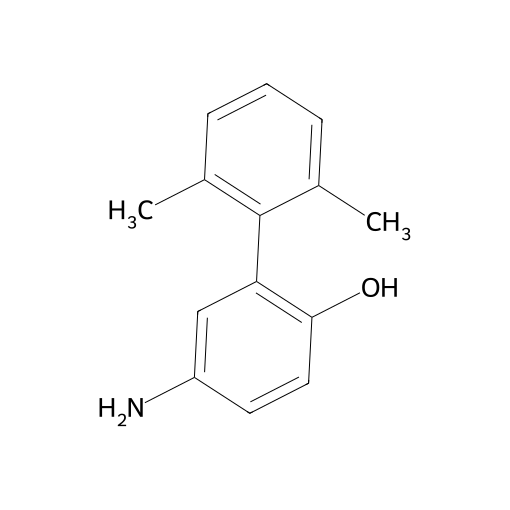 Cc1cccc(C)c1-c1cc(N)ccc1O